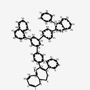 C1=CCC2CCC(c3ccccc3)=C(c3ccc(-c4cc(-c5ccc(-c6nc7ccccc7n6-c6ccccc6)cc5)cc(-c5cccc6ccccc56)c4)cc3)N=C2C=C1